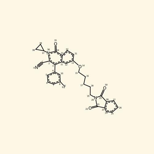 N#Cc1c(-c2cccc(F)c2)c2cc(OCCCCCN3C(=O)c4ccccc4C3=O)ccc2c(=O)n1C1CC1